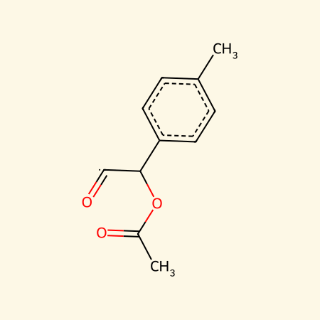 CC(=O)OC([C]=O)c1ccc(C)cc1